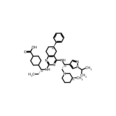 CC[C@@H](Nc1nc2c(c(N[C@@H](CN3CCC[C@H](C)C3)c3cnn(C(C)C)c3)n1)C[C@H](c1ccccc1)CC2)C1CCC(C(=O)O)CC1